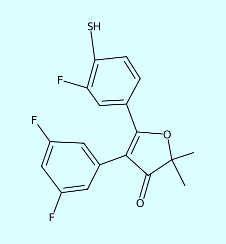 CC1(C)OC(c2ccc(S)c(F)c2)=C(c2cc(F)cc(F)c2)C1=O